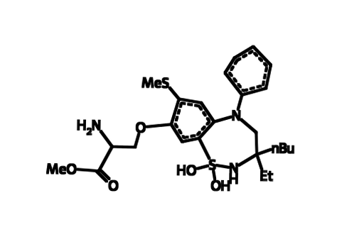 CCCCC1(CC)CN(c2ccccc2)c2cc(SC)c(OCC(N)C(=O)OC)cc2S(O)(O)N1